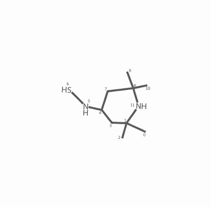 CC1(C)CC(NS)CC(C)(C)N1